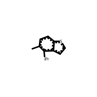 Cc1ccc2sccc2c1C(C)C